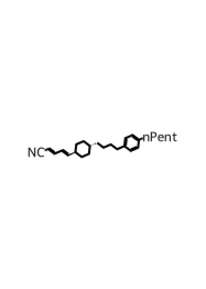 CCCCCc1ccc(CCCC[C@H]2CC[C@H](/C=C/C=C/C#N)CC2)cc1